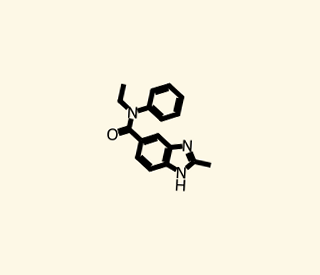 CCN(C(=O)c1ccc2[nH]c(C)nc2c1)c1ccccc1